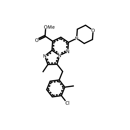 COC(=O)c1cc(N2CCOCC2)nn2c(Cc3cccc(Cl)c3C)c(C)nc12